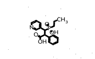 CCCP(=O)(O)C(c1cccnc1)C(C(=O)O)c1ccccc1